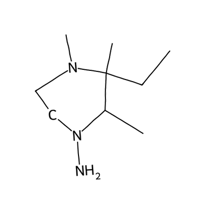 CCC1(C)C(C)N(N)CCN1C